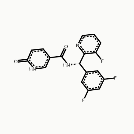 O=C(N[C@@H](c1cc(F)cc(F)c1)c1ncccc1F)c1ccc(=O)[nH]c1